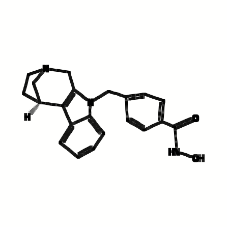 O=C(NO)c1ccc(Cn2c3c(c4ccccc42)[C@H]2CCN(C3)C2)cc1